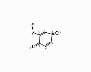 [CH2]CC1=CC(=O)C=CC1=O